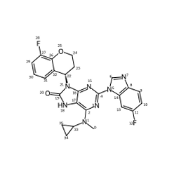 CN(c1nc(-n2cnc3ccc(F)cc32)nc2c1[nH]c(=O)n2[C@@H]1CCOc2c(F)cccc21)C1CC1